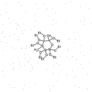 CCOC1(C)O[Si](OCC)(OCC)[Si](OCC)(OCC)[Si](C)(OCC)C1(OCC)OCC